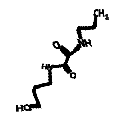 CCCNC(=O)C(=O)NCCCO